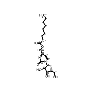 CCCCCCCOC(=O)ONc1ccn(C2OC(CO)C(O)C2O)c(=O)n1